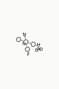 N#Cc1cc(-c2ccc(C[SH](=O)=O)cc2)c(-c2ccc(F)cc2)nc1-c1ccccc1